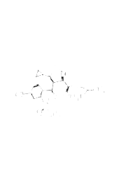 CC(C)OC(=O)c1noc(C2CC2)c1C(=O)c1ccc(Cl)cc1S(C)(=O)=O